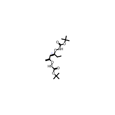 C=C(/C=C(\CC)ONC(=O)OC(C)(C)C)ONC(=O)OC(C)(C)C